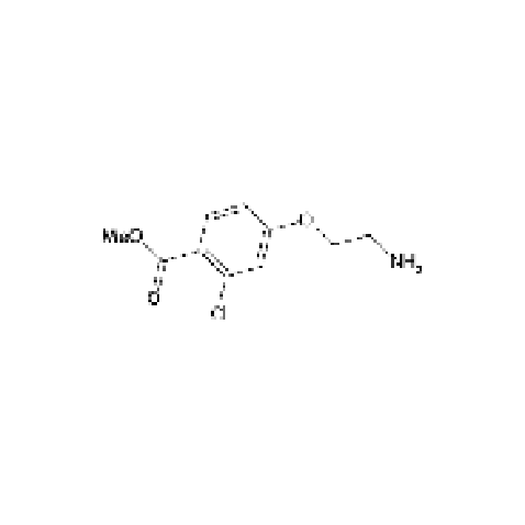 COC(=O)c1ccc(OCCN)cc1Cl